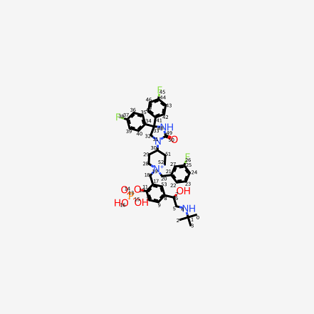 CC(C)(C)NCC(O)c1ccc(OP(=O)(O)O)c(C[N+]2(Cc3cccc(F)c3)CCC(N3CC(c4ccc(F)cc4)(c4ccc(F)cc4)NC3=O)CC2)c1